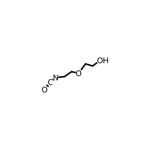 O=C=NCCOCCO